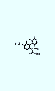 CCCCC(=O)Oc1ccc(C)c(C)c1-c1c([O][Ti])ccc(C)c1C.Cl